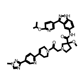 COC1(C(=O)Nc2ccc3[nH]nc(-c4ccc(OC(C)C)nc4)c3c2)CCN(CC(=O)N2CC=C(c3ccc(-c4ncn(C)n4)cn3)CC2)C1